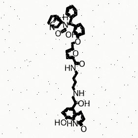 O=C(NCCCCNC[C@H](O)c1ccc(O)c2[nH]c(=O)ccc12)c1ccc(COc2cccc([C@H](c3ccccc3)N(C(=O)O)[C@H]3CN4CCC3CC4)c2)o1